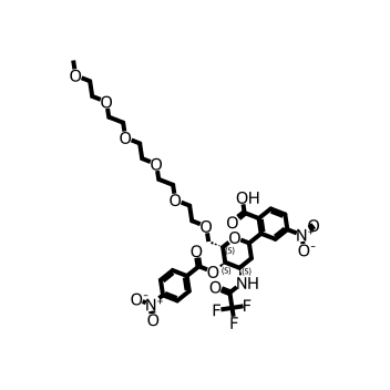 COCCOCCOCCOCCOCCOC[C@@H]1OC(c2cc([N+](=O)[O-])ccc2C(=O)O)C[C@H](NC(=O)C(F)(F)F)[C@@H]1OC(=O)c1ccc([N+](=O)[O-])cc1